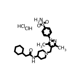 Cc1nn(-c2ccc(S(N)(=O)=O)cc2)c(C)c1CN1CCC(NC(=O)CC2CCCCC2)CC1.Cl.Cl